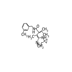 C=N/C(NC1(C)CC1)=C(\C)C(C(=O)NCc1cccc(C)c1)=C(C)C